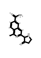 Cc1nc(C2NCCC2=O)cc2cc(C(N)=O)ccc12